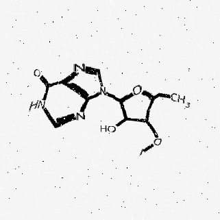 CC1OC(n2cnc3c(=O)[nH]cnc32)C(O)C1OI